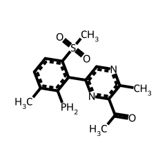 CC(=O)c1nc(-c2c(S(C)(=O)=O)ccc(C)c2P)cnc1C